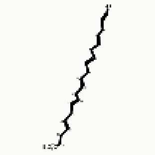 CC/C=C/C/C=C/C/C=C/C/C=C/C/C=C/C/C=C/CCC(=O)OCC